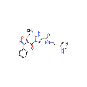 CCc1onc(-c2ccccc2)c1C(=O)c1c[nH]c(C(=O)NCCc2cnc[nH]2)c1